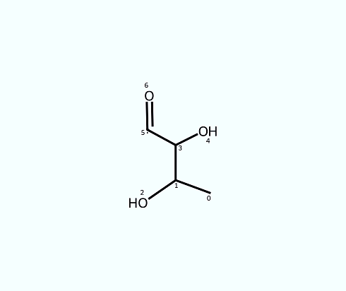 CC(O)C(O)[C]=O